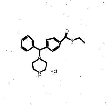 CCNC(=O)c1ccc(C(c2ccccc2)N2CCNCC2)cc1.Cl